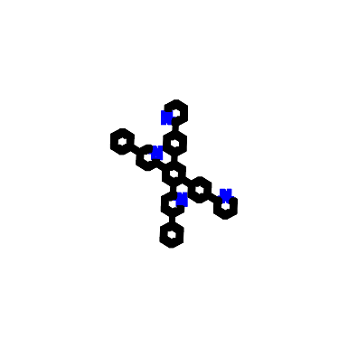 c1ccc(-c2ccc(-c3cc(-c4ccc(-c5ccccc5)cn4)c(-c4ccc(-c5ccccn5)cc4)cc3-c3ccc(-c4ccccn4)cc3)nc2)cc1